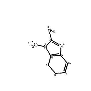 Cn1c(C(C)(C)C)nc2c1CCC=C2